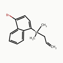 C=CC[Si](C)(C)c1ccc(Br)c2ccccc12